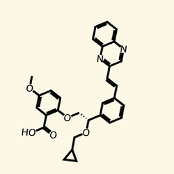 COc1ccc(OC[C@@H](OCC2CC2)c2cccc(/C=C/c3cnc4ccccc4n3)c2)c(C(=O)O)c1